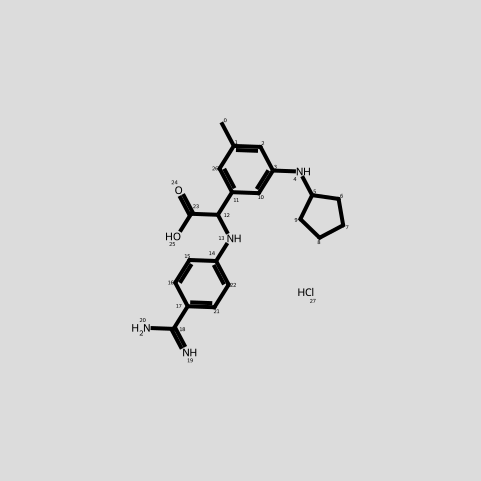 Cc1cc(NC2CCCC2)cc(C(Nc2ccc(C(=N)N)cc2)C(=O)O)c1.Cl